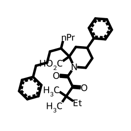 CCCC(CCCc1ccccc1)C1(C(=O)O)CC(c2ccccc2)CCN1C(=O)C(=O)C(C)(C)CC